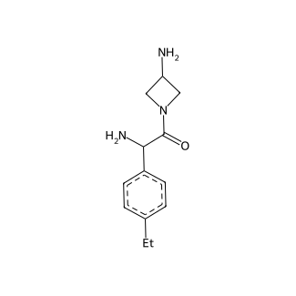 CCc1ccc(C(N)C(=O)N2CC(N)C2)cc1